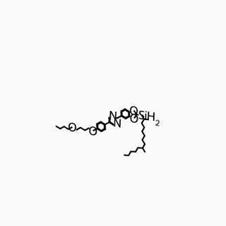 CCCCCC(C)CCCCCCC(C)[SiH2]C1Oc2ccc(-c3ncc(-c4ccc(OCCCCOCCCC)cc4)cn3)cc2O1